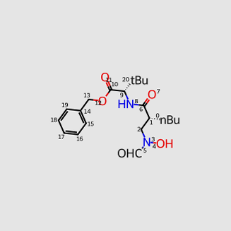 CCCC[C@H](CN(O)C=O)C(=O)N[C@H](C(=O)OCc1ccccc1)C(C)(C)C